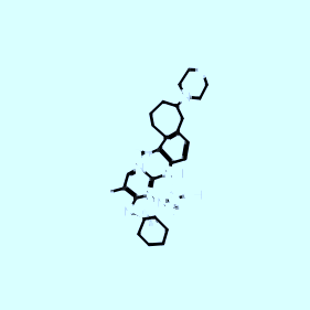 COc1c(Nc2ncc(Cl)c(N[C@@H]3CCCC[C@H]3NS(C)(=O)=O)n2)ccc2c1CCCC(N1CCOCC1)C2